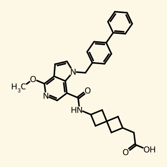 COc1ncc(C(=O)NC2CC3(CC(CC(=O)O)C3)C2)c2c1ccn2Cc1ccc(-c2ccccc2)cc1